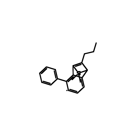 CCCC1=C2c3c(-c4ccccc4)[c]ccc3C1[Si]2(C)C